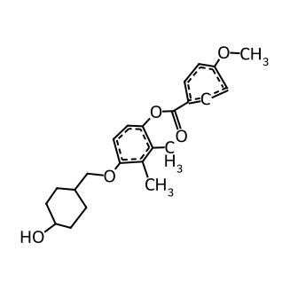 COc1ccc(C(=O)Oc2ccc(OCC3CCC(O)CC3)c(C)c2C)cc1